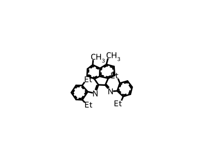 CCc1cccc(CC)c1/N=C1/C(=N/c2c(CC)cccc2CC)c2ccc(C)c3c(C)ccc1c23